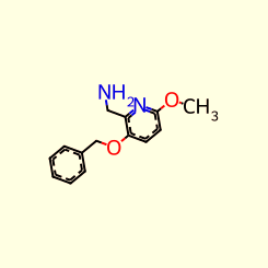 COc1ccc(OCc2ccccc2)c(CN)n1